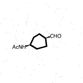 CC(=O)N[C@H]1CC[C@@H](C=O)CC1